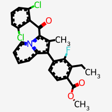 CCc1c(C(=O)OC)ccc(-c2c(C)c(C(=O)c3c(Cl)cccc3Cl)n3ccccc23)c1F